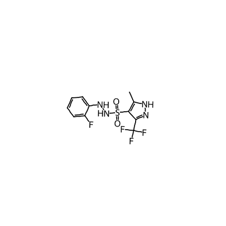 Cc1[nH]nc(C(F)(F)F)c1S(=O)(=O)NNc1ccccc1F